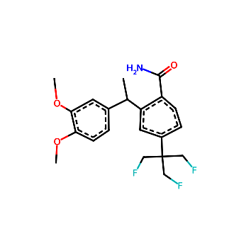 COc1ccc(C(C)c2cc(C(CF)(CF)CF)ccc2C(N)=O)cc1OC